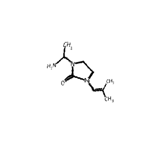 CC(C)=CN1CCN(C(C)N)C1=O